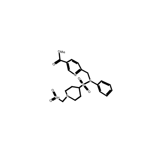 COC(=O)c1ccc(CN(c2ccccc2)S(=O)(=O)C2CCN(C[SH](=O)=O)CC2)nc1